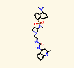 Cc1cc(NC(=O)NCCN2CCC(N(C)S(=O)(=O)c3cccc4c(N(C)C)cccc34)C2)c2ccccc2n1